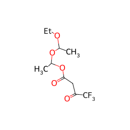 CCOC(C)OC(C)OC(=O)CC(=O)C(F)(F)F